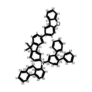 CC1(C)c2ccc(-c3ccc4oc5ccccc5c4c3)cc2-c2cc(N(c3ccc(-c4ccccc4)c(-c4ccccc4)c3)c3cccc4c3ccc3ccccc34)ccc21